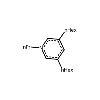 CCCCCCc1cc(CCCCCC)c[n+](CCC)c1